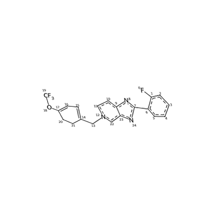 Fc1ccccc1-c1nc2ccn(CC3=CC=C(OC(F)(F)F)CC3)cc-2n1